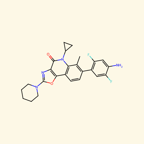 Cc1c(-c2cc(F)c(N)cc2F)ccc2c3oc(N4CCCCC4)nc3c(=O)n(C3CC3)c12